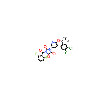 O=C1C(=O)N(c2ccc(OC(c3ccc(Cl)c(Cl)c3)C(F)(F)F)nc2)C(=O)N1C(=O)c1c(F)cccc1F